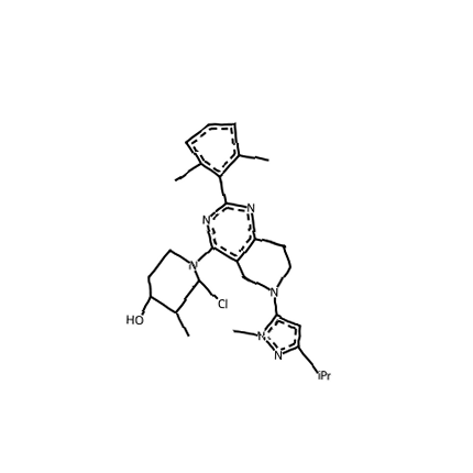 Cc1cccc(C)c1-c1nc2c(c(N3CCC(O)C(C)C3Cl)n1)CN(c1cc(C(C)C)nn1C)CC2